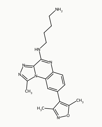 Cc1noc(C)c1-c1ccc2nc(NCCCCN)c3nnc(C)n3c2c1